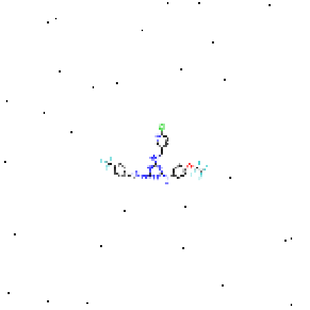 FC(F)C(F)(F)Oc1ccc(Nc2nc(NCc3ccc(Cl)nc3)nc(N/N=C/c3ccc(C(F)(F)F)cc3)n2)cc1